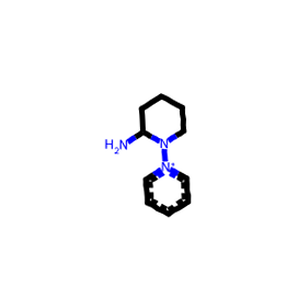 NC1CCCCN1[n+]1ccccc1